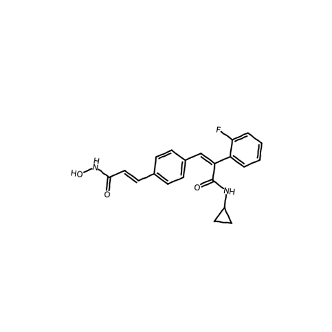 O=C(C=Cc1ccc(C=C(C(=O)NC2CC2)c2ccccc2F)cc1)NO